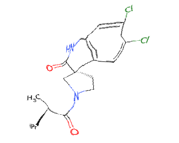 CC(C)[C@@H](C)C(=O)N1CC[C@]2(C1)C(=O)Nc1cc(Cl)c(Cl)cc12